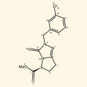 COC(=O)[C@@H]1CCc2nn(Cc3cccc(C(F)(F)F)c3)c(=O)n21